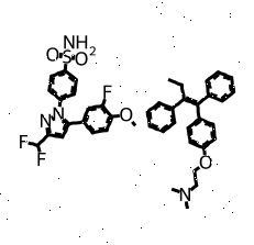 CC/C(=C(\c1ccccc1)c1ccc(OCCN(C)C)cc1)c1ccccc1.COc1ccc(-c2cc(C(F)F)nn2-c2ccc(S(N)(=O)=O)cc2)cc1F